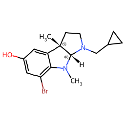 CN1c2c(Br)cc(O)cc2[C@]2(C)CCN(CC3CC3)[C@H]12